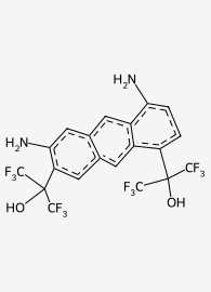 Nc1cc2cc3c(N)ccc(C(O)(C(F)(F)F)C(F)(F)F)c3cc2cc1C(O)(C(F)(F)F)C(F)(F)F